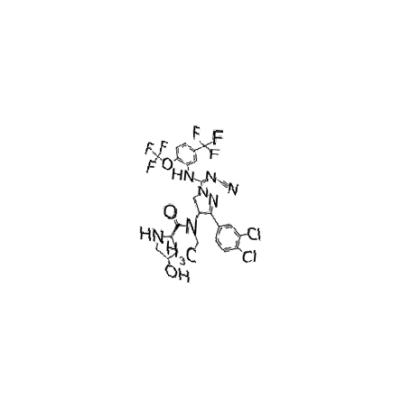 CCN(C(=O)[C@H]1C[C@@H](O)CN1)C1CN(C(=NC#N)Nc2cc(C(F)(F)F)ccc2OC(F)(F)F)N=C1c1ccc(Cl)c(Cl)c1